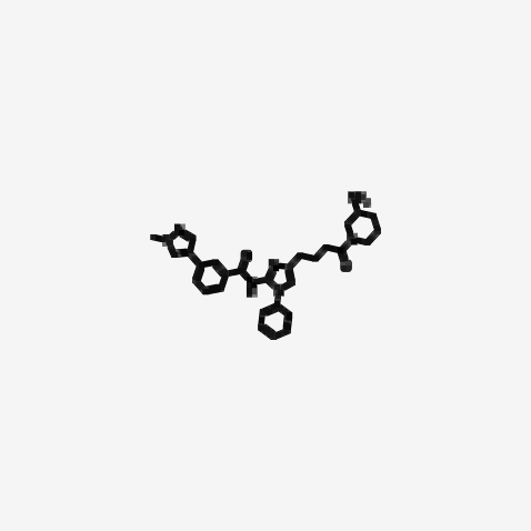 Cn1cc(-c2cccc(C(=O)Nc3nc(CCCC(=O)N4CCCC(N)C4)cn3-c3ccccc3)c2)cn1